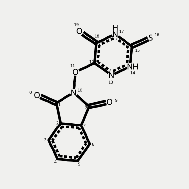 O=C1c2ccccc2C(=O)N1Oc1n[nH]c(=S)[nH]c1=O